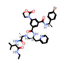 CCNC(=O)[C@@H](NC(=O)[C@H](C)NC[C@H](Cc1ccccn1)NC(=O)c1cc(C(=O)N[C@H](C)c2ccc(Br)cc2)cc(N2CCOC2=O)c1)C(C)C